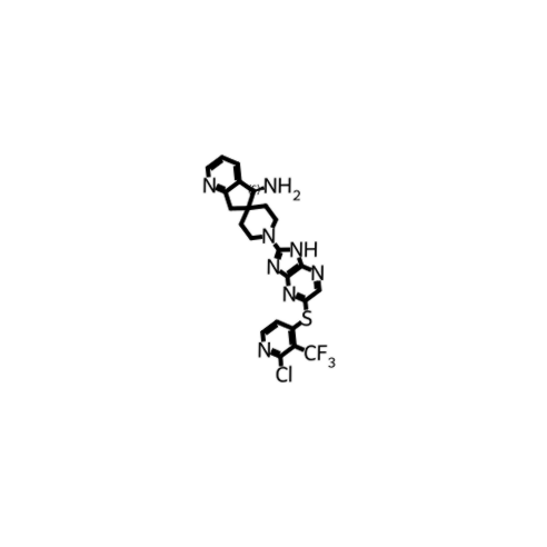 N[C@@H]1c2cccnc2CC12CCN(c1nc3nc(Sc4ccnc(Cl)c4C(F)(F)F)cnc3[nH]1)CC2